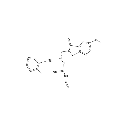 COc1ccc2c(c1)C(=O)N(C[C@@H](C#Cc1ccccc1F)NC(=O)NC=O)C2